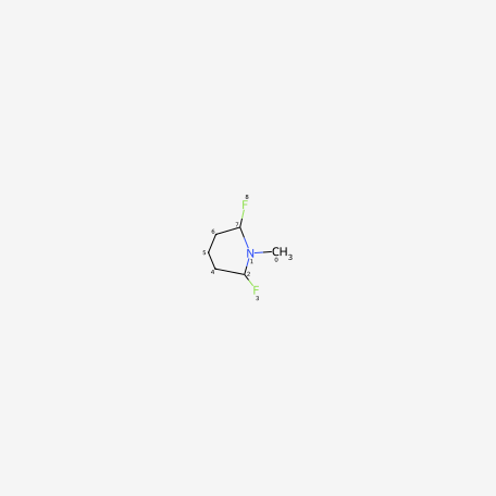 CN1C(F)CCCC1F